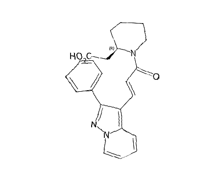 O=C(O)C[C@H]1CCCCN1C(=O)C=Cc1c(-c2ccccc2)nn2ccccc12